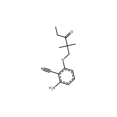 CCC(=O)C(C)(C)COc1cccc(N)c1C#N